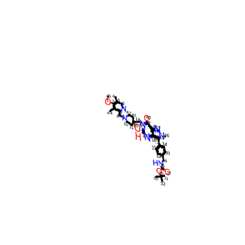 COc1c(C)cnc(CN2CCC(O)(Cn3cnc4c(-c5ccc(CNC(=O)OC(C)(C)C)cc5)n(C)nc4c3=O)CC2)c1C